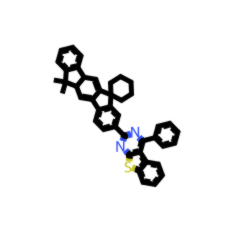 CC1(C)c2ccccc2C2C=C3C(=CC21)c1ccc(-c2nc(-c4ccccc4)c4c(n2)sc2ccccc24)cc1C31CCCCC1